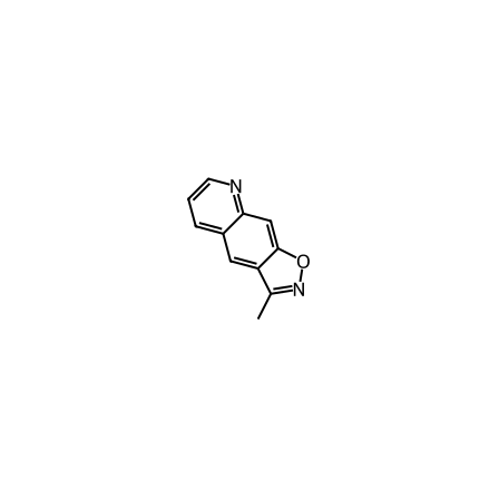 Cc1noc2cc3ncccc3cc12